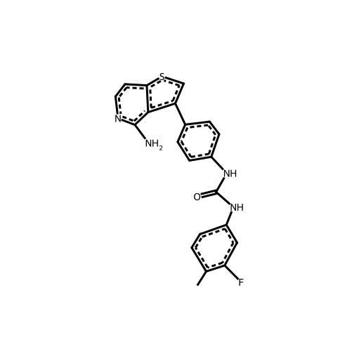 Cc1ccc(NC(=O)Nc2ccc(-c3csc4ccnc(N)c34)cc2)cc1F